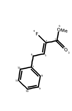 COC(=O)C(F)=CCc1ccccc1